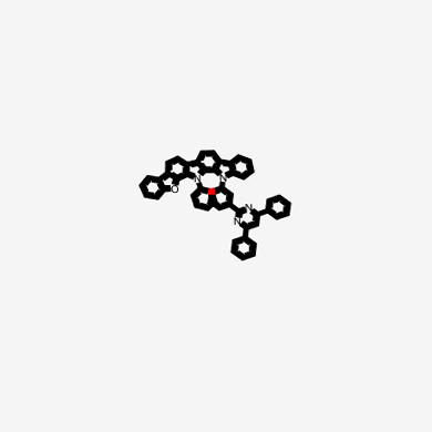 c1ccc(-c2cc(-c3ccccc3)nc(-c3cccc(-n4c5ccccc5c5ccc6c7ccc8c9ccccc9oc8c7n(-c7ccccc7)c6c54)c3)n2)cc1